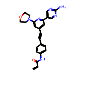 C=CC(=O)Nc1ccc(C#Cc2cc(-c3cnc(N)nc3)nc(N3CCOCC3)c2)cc1